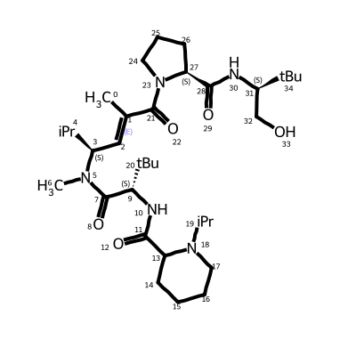 C/C(=C\[C@H](C(C)C)N(C)C(=O)[C@@H](NC(=O)C1CCCCN1C(C)C)C(C)(C)C)C(=O)N1CCC[C@H]1C(=O)N[C@H](CO)C(C)(C)C